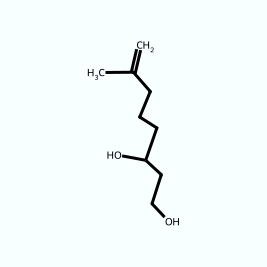 C=C(C)CCCC(O)CCO